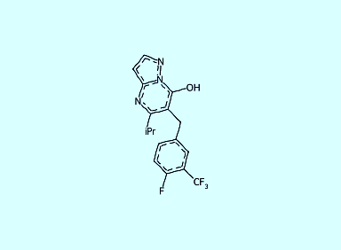 CC(C)c1nc2ccnn2c(O)c1Cc1ccc(F)c(C(F)(F)F)c1